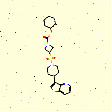 O=C(OC1CCCCC1)N1CC(S(=O)(=O)N2CCC(c3coc4cccnc34)CC2)C1